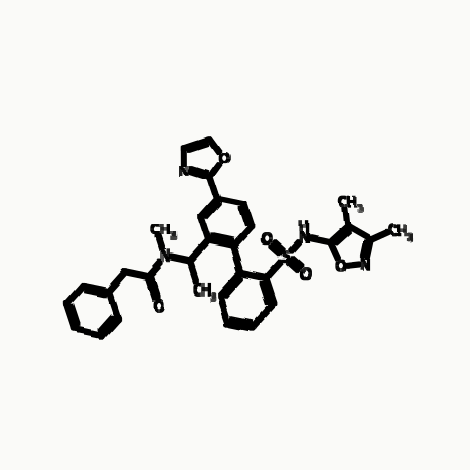 Cc1noc(NS(=O)(=O)c2ccccc2-c2ccc(-c3ncco3)cc2C(C)N(C)C(=O)Cc2ccccc2)c1C